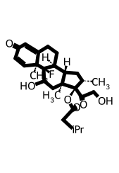 CC(C)CC(=O)O[C@]1(C(=O)CO)[C@@H](C)C[C@H]2[C@@H]3CCC4=CC(=O)C=C[C@]4(C)[C@@]3(F)C(O)C[C@@]21C